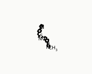 Cc1cn(-c2ccc3c(c2)CN(c2ncc(Cc4ccc(-n5cccn5)cc4)s2)CC3)cn1